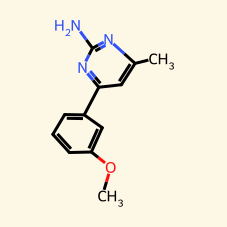 COc1cccc(-c2cc(C)nc(N)n2)c1